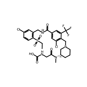 CCS(=O)(=O)c1ccc(Cl)cc1CNC(=O)c1cc(Cl)c(CN2CCC[C@H](N(C)C(=O)CNC(=O)O)C2)c(C(F)(F)F)c1